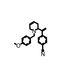 C=C(c1ccc(C#N)cc1)C1CC=CCN1Cc1ccc(OC)cc1